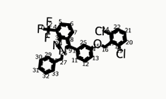 FC(F)(F)c1cccc2c(-c3cccc(OCc4c(Cl)cccc4Cl)c3)n(Cc3ccccc3)nc12